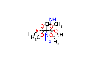 CO[Si](OC)(OC)C(N)(CCN)[Si](OC)(OC)OC